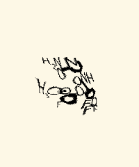 COc1cc(F)ccc1Oc1cc(OC(F)(F)F)ccc1C(=O)Nc1ccnc(C(N)=O)c1